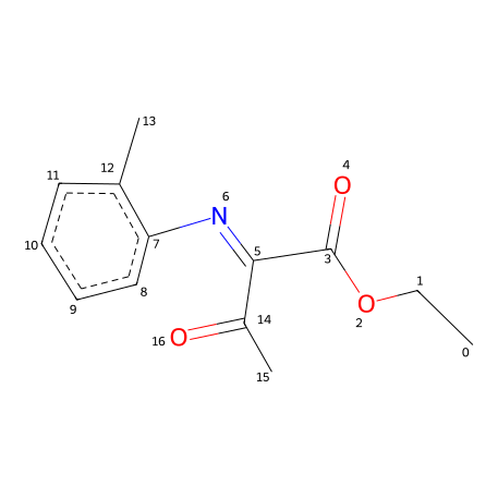 CCOC(=O)/C(=N/c1ccccc1C)C(C)=O